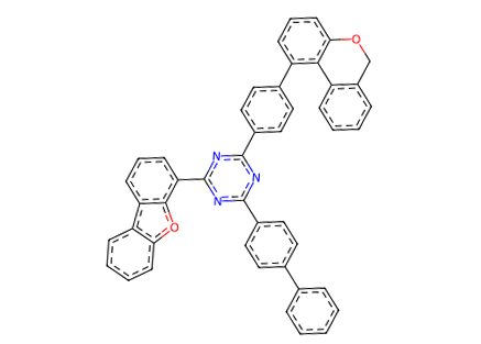 c1ccc(-c2ccc(-c3nc(-c4ccc(-c5cccc6c5-c5ccccc5CO6)cc4)nc(-c4cccc5c4oc4ccccc45)n3)cc2)cc1